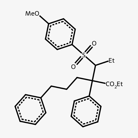 CCOC(=O)C(CCCc1ccccc1)(c1ccccc1)C(CC)S(=O)(=O)c1ccc(OC)cc1